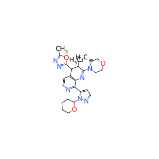 Cc1nnc(C2c3ccnc(-c4ccnn4C4CCCCO4)c3N=C(N3CCOC[C@H]3C)C2C)o1